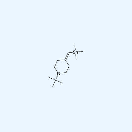 CC(C)(C)N1CCC(=[CH][Sn]([CH3])([CH3])[CH3])CC1